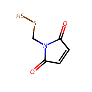 O=C1C=CC(=O)N1CSS